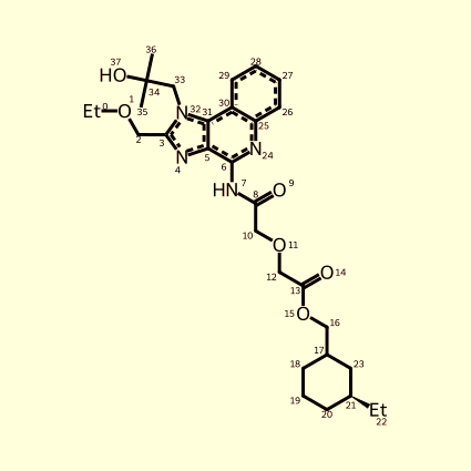 CCOCc1nc2c(NC(=O)COCC(=O)OCC3CCC[C@H](CC)C3)nc3ccccc3c2n1CC(C)(C)O